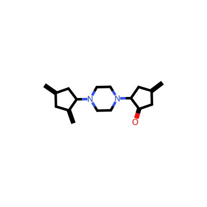 C=C1CC(=C)C(N2CCN(C3CC(=C)CC3=O)CC2)C1